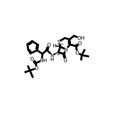 CC(C)(C)OC(=O)NC(C(=O)N[C@@H]1C(=O)N2C(C(=O)OC(C)(C)C)=C(CO)CS[C@@H]12)c1ccccc1